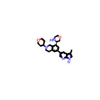 Cc1c[nH]c2ncc(-c3cc4c(c([C@@H]5COCCN5)c3)CN(C3CCOCC3)CC4)cc12